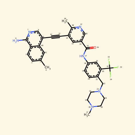 Cc1ccc2c(N)ncc(C#Cc3cc(C(=O)Nc4ccc(CN5CCN(C)CC5)c(C(F)(F)F)c4)cnc3C)c2c1